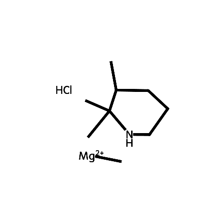 CC1CCCNC1(C)C.Cl.[CH3][Mg+2]